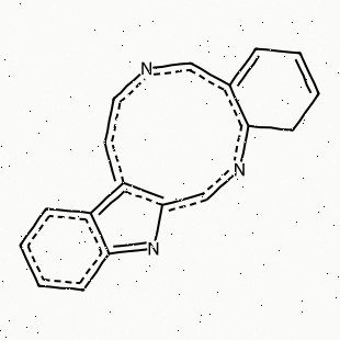 C1=CCc2ncc3c(ccncc2=C1)=c1ccccc1=N3